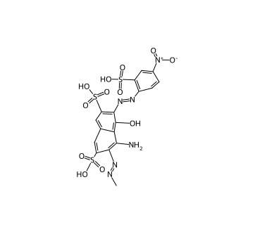 CN=Nc1c(S(=O)(=O)O)cc2cc(S(=O)(=O)O)c(N=Nc3ccc([N+](=O)[O-])cc3S(=O)(=O)O)c(O)c2c1N